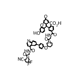 N#C[C@@H]1CC(F)(F)CN1C(=O)CNC(=O)c1ccnc2ccc(-c3ccc(OC4CCCN(C(=O)CNC(=O)c5ccc(C(=O)O)c(-c6c7ccc(=O)cc-7oc7cc(O)ccc67)c5)C4)cc3)cc12